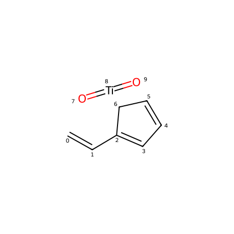 C=CC1=CC=CC1.[O]=[Ti]=[O]